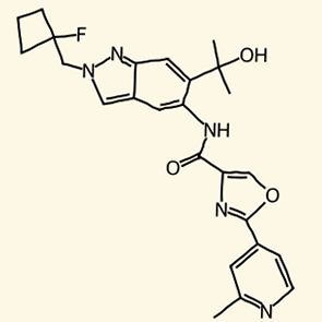 Cc1cc(-c2nc(C(=O)Nc3cc4cn(CC5(F)CCC5)nc4cc3C(C)(C)O)co2)ccn1